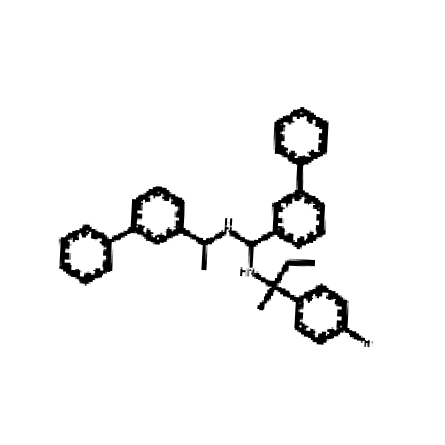 CCC(C)(NC(NC(C)c1cccc(-c2ccccc2)c1)c1cccc(-c2ccccc2)c1)c1ccc(Br)cc1